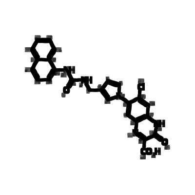 O=C(NCc1ccn(-c2cc3nc(C(=O)O)c(=O)[nH]c3cc2Cl)c1)Nc1cccc2ccccc12